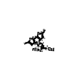 CCCCCCCCC(CCCCCC)C[Si]1(CCCCCC)c2cc(C)sc2-c2sc(C)cc21